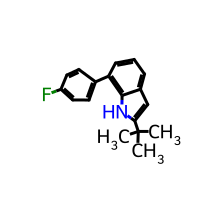 CC(C)(C)c1cc2cccc(-c3ccc(F)cc3)c2[nH]1